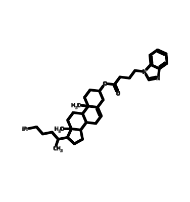 CC(C)CCCC(C)C1CCC2C3CC=C4CC(OC(=O)CCCn5cnc6ccccc65)CCC4(C)C3CCC12C